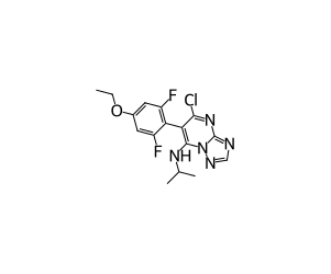 CCOc1cc(F)c(-c2c(Cl)nc3ncnn3c2NC(C)C)c(F)c1